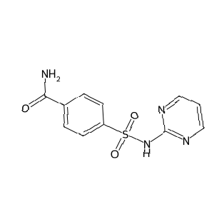 NC(=O)c1ccc(S(=O)(=O)Nc2ncccn2)cc1